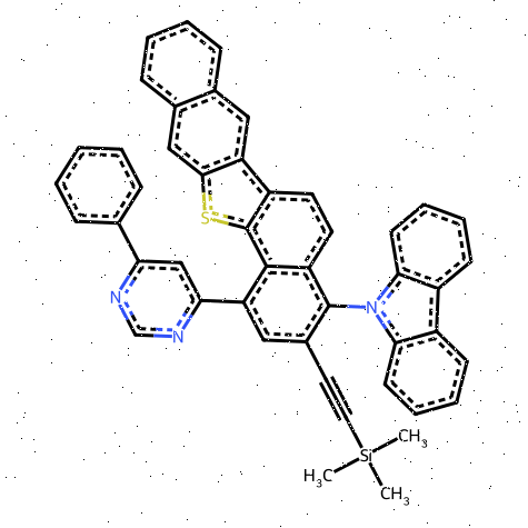 C[Si](C)(C)C#Cc1cc(-c2cc(-c3ccccc3)ncn2)c2c(ccc3c4cc5ccccc5cc4sc32)c1-n1c2ccccc2c2ccccc21